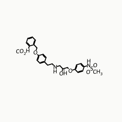 CS(=O)(=O)Nc1ccc(OC[C@@H](O)CNCCc2ccc(OCc3ccccc3C(=O)O)cc2)cc1